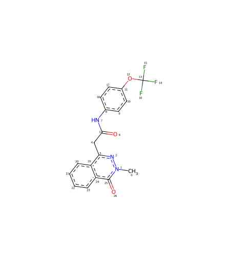 Cn1nc(CC(=O)Nc2ccc(OC(F)(F)F)cc2)c2ccccc2c1=O